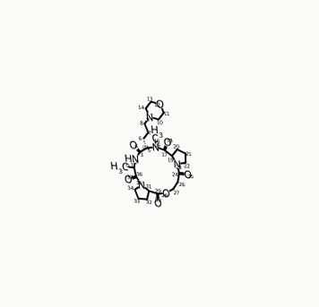 CC1NC(=O)[C@H](CCCN2CCOCC2)N(C)C(=O)C2CCCN2C(=O)CCOC(=O)C2CCCN2C1=O